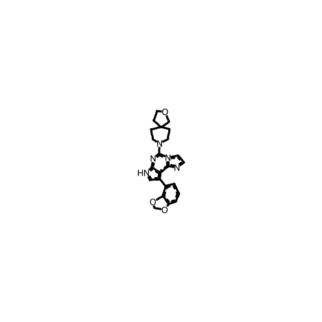 c1cc2c(c(-c3c[nH]c4nc(N5CCC6(CCOC6)CC5)n5ccnc5c34)c1)OCO2